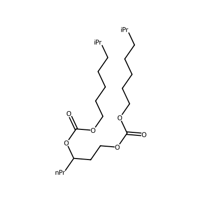 CCCC(CCOC(=O)OCCCCCC(C)C)OC(=O)OCCCCCC(C)C